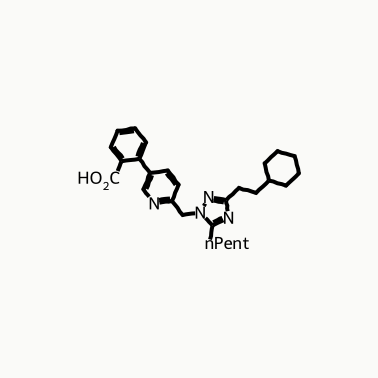 CCCCCc1nc(CCC2CCCCC2)nn1Cc1ccc(-c2ccccc2C(=O)O)cn1